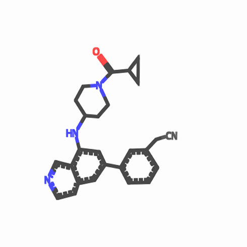 N#CCc1cccc(-c2cc(NC3CCN(C(=O)C4CC4)CC3)c3cnccc3c2)c1